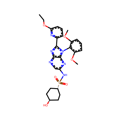 CCOc1cccc(-c2nc3ncc(NS(=O)(=O)[C@H]4CC[C@H](O)CC4)nc3n2-c2c(OC)cccc2OC)n1